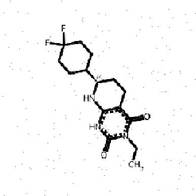 CCn1c(=O)[nH]c2c(c1=O)CC[C@H](C1CCC(F)(F)CC1)N2